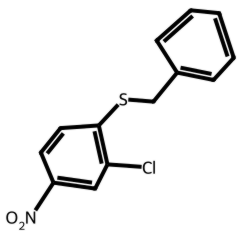 O=[N+]([O-])c1ccc(SCc2ccccc2)c(Cl)c1